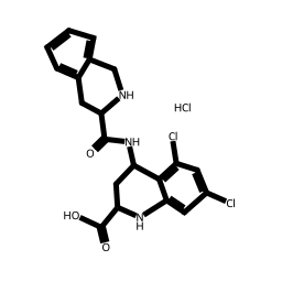 Cl.O=C(O)C1CC(NC(=O)C2Cc3ccccc3CN2)c2c(Cl)cc(Cl)cc2N1